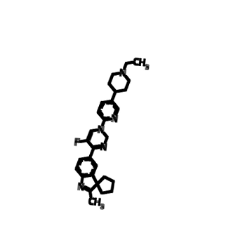 CCN1CCC(c2ccc(N3C=C(F)C(c4ccc5c(c4)C4(CCCC4)C(C)=N5)=NC3)nc2)CC1